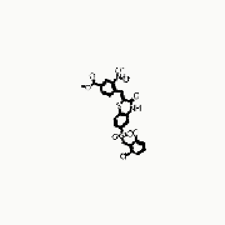 COC(=O)c1ccc(C=C2Sc3ccc(S(=O)(=O)Cc4c(Cl)cccc4Cl)cc3NC2=O)c([N+](=O)[O-])c1